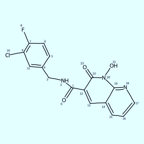 O=C(NCc1ccc(F)c(Cl)c1)c1cc2cccnc2n(O)c1=O